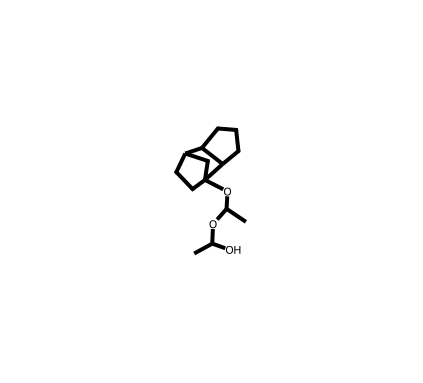 CC(O)OC(C)OC12CCC(C1)C1CCCC12